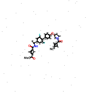 COC(=O)C12CC(C(=O)N[C@@H](C)c3cc(F)c(-c4ccc(OC5CCN(C(=O)C67CC(C#N)(C6)C7)C5)cc4)c(F)c3)(C1)C2